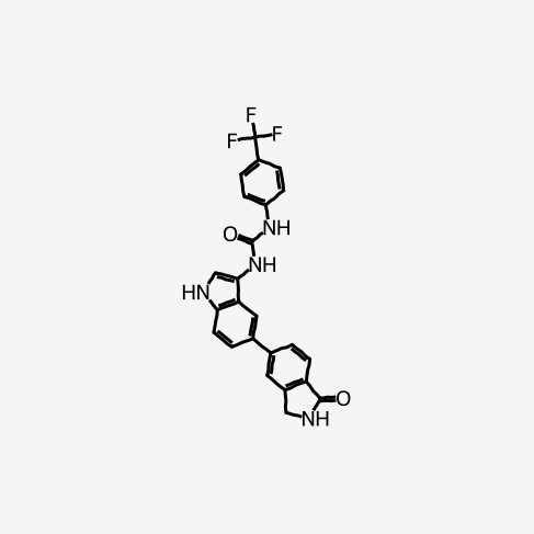 O=C(Nc1ccc(C(F)(F)F)cc1)Nc1c[nH]c2ccc(-c3ccc4c(c3)CNC4=O)cc12